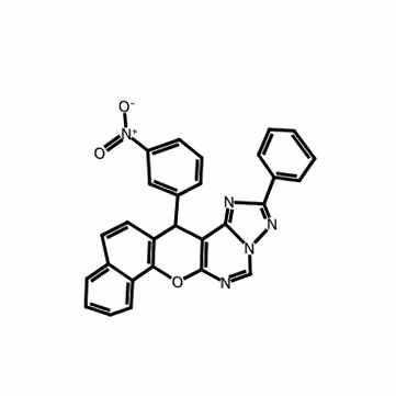 O=[N+]([O-])c1cccc(C2c3ccc4ccccc4c3Oc3ncn4nc(-c5ccccc5)nc4c32)c1